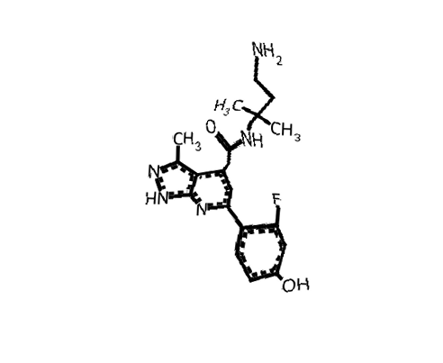 Cc1n[nH]c2nc(-c3ccc(O)cc3F)cc(C(=O)NC(C)(C)CCN)c12